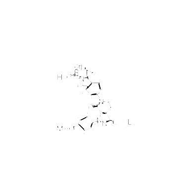 CCOC(=O)c1nn(-c2ccc(OC)cc2)c2c1CCN(c1ccc(C3(N(C)B(C)O)CC3)cc1)C2=O